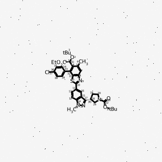 CCOC(=O)[C@@H](OC(C)(C)C)c1c(C)cc2nc(-c3ccc4c(c3)c([C@@H]3CCN(C(=O)OC(C)(C)C)C3)nn4C)sc2c1-c1ccc(Cl)cc1